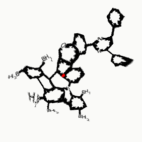 Bc1cc(B)c2c(c1)-c1c(B)c(B)c3c4cc(B)cc(B)c4n(-c4ccccc4)c3c1C2c1ccc2c(c1)oc1ccc(-c3nc(-c4ccccc4)cc(-c4ccccc4)n3)cc12